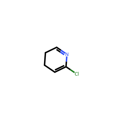 ClC1=CCCC=N1